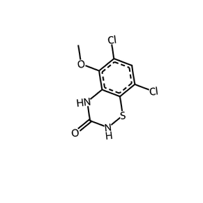 COc1c(Cl)cc(Cl)c2c1NC(=O)NS2